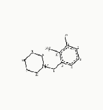 Cc1cccc(CN2CCCCC2)c1F